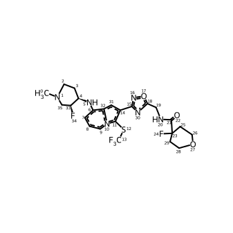 CN1CC[C@@H](Nc2cccn3c(SC(F)(F)F)c(-c4noc(CNC(=O)C5(F)CCOCC5)n4)cc23)[C@@H](F)C1